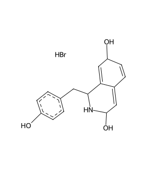 Br.Oc1ccc(CC2NC(O)C=C3C=CC(O)C=C32)cc1